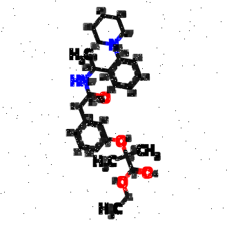 CCOC(=O)C(C)(C)Oc1cccc(CC(=O)NC(C)c2ccccc2N2CCCCC2)c1